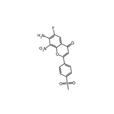 CS(=O)(=O)c1ccc(-c2cc(=O)c3cc(F)c(N)c([N+](=O)[O-])c3o2)cc1